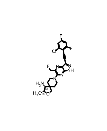 C[C@@H]1OCC2(CCN(c3nc4[nH]nc(C#Cc5c(F)cc(F)cc5Cl)c4nc3CF)CC2)[C@@H]1N